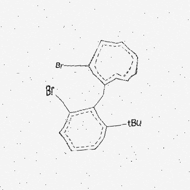 CC(C)(C)c1cccc(Br)c1-c1ccccc1Br